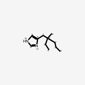 CCCC(C)(CC)Cc1c[nH]cn1